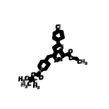 CCOC(=O)c1nnc(CC2CCN(C(=O)OC(C)(C)C)CC2)c2cc(-c3ccc(Cl)cc3)sc12